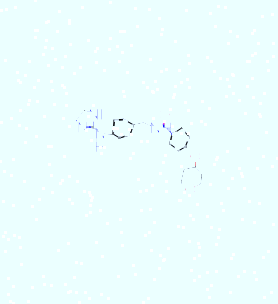 O=C(NCc1ccc(NC2=NCCN2)cc1)c1ccc(OC2CCOCC2)cc1